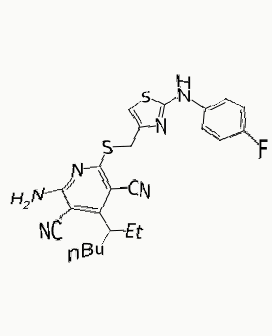 CCCCC(CC)c1c(C#N)c(N)nc(SCc2csc(Nc3ccc(F)cc3)n2)c1C#N